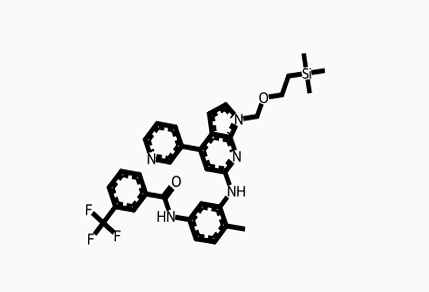 Cc1ccc(NC(=O)c2cccc(C(F)(F)F)c2)cc1Nc1cc(-c2cccnc2)c2ccn(COCC[Si](C)(C)C)c2n1